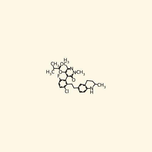 Cc1nn(C)c(=O)c(-c2c(F)ccc(Cl)c2CCc2ccc3c(c2)CCC(C)N3)c1OC(=O)C(C)C